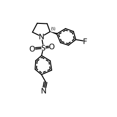 N#Cc1ccc(S(=O)(=O)N2CCC[C@H]2c2ccc(F)cc2)cc1